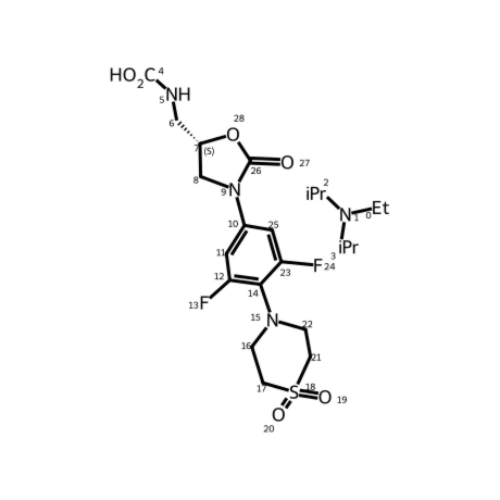 CCN(C(C)C)C(C)C.O=C(O)NC[C@H]1CN(c2cc(F)c(N3CCS(=O)(=O)CC3)c(F)c2)C(=O)O1